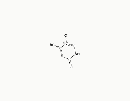 O=c1c[13c](O)[13c](Cl)[13cH][nH]1